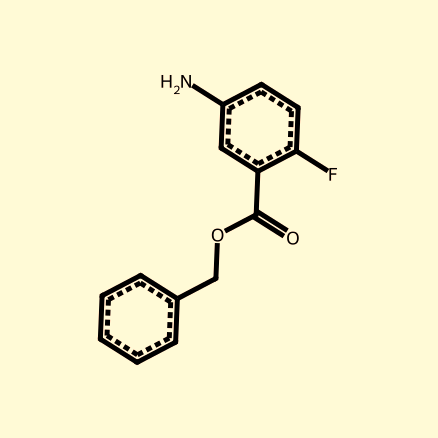 Nc1ccc(F)c(C(=O)OCc2ccccc2)c1